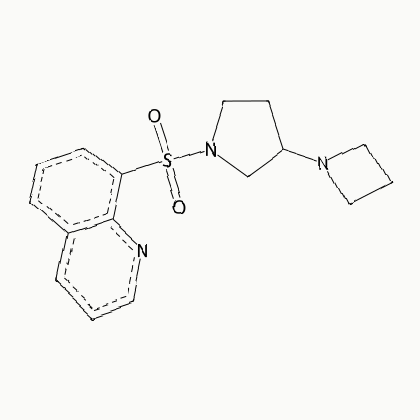 O=S(=O)(c1cccc2cccnc12)N1CCC(N2CCC2)C1